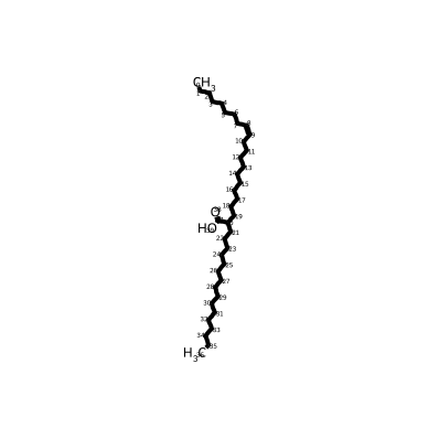 CCCCCCCC/C=C\CCCCCCCCCCC(CCCCCCCCCCCCCCCC)C(=O)O